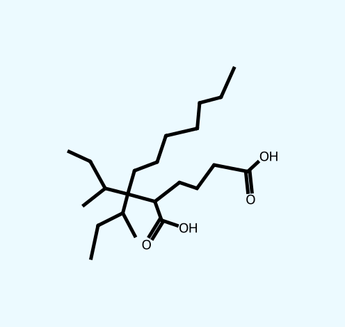 CCCCCCCC(C(C)CC)(C(C)CC)C(CCCC(=O)O)C(=O)O